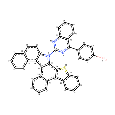 Bc1ccc(-c2nc(-n3c4ccc5ccccc5c4c4c5ccccc5c5c6ccccc6sc5c43)nc3ccccc23)cc1